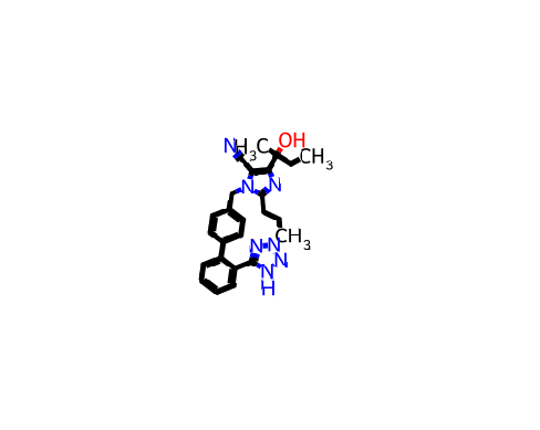 CCCc1nc(C(C)(O)CC)c(C#N)n1Cc1ccc(-c2ccccc2-c2nnn[nH]2)cc1